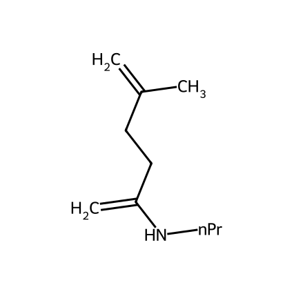 C=C(C)CCC(=C)NCCC